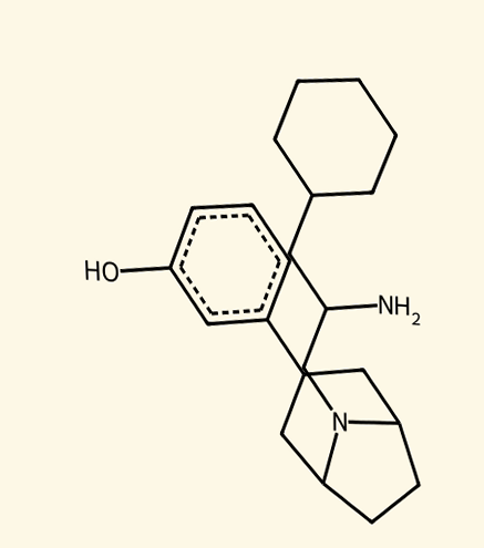 NC(CC1CCCCC1)CN1C2CCC1CC(c1cccc(O)c1)C2